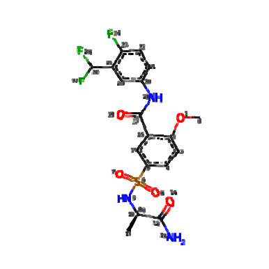 COc1ccc(S(=O)(=O)N[C@H](C)C(N)=O)cc1C(=O)Nc1ccc(F)c(C(F)F)c1